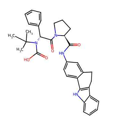 CC(C)(C)N(C(=O)O)[C@@H](C(=O)N1CCC[C@H]1C(=O)Nc1ccc2c(c1)CCc1c-2[nH]c2ccccc12)c1ccccc1